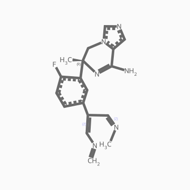 C=N/C=C(\C=N/C)c1ccc(F)c([C@]2(C)Cn3cncc3C(N)=N2)c1